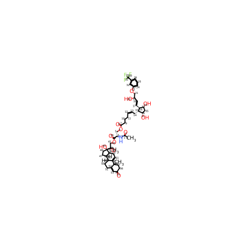 CC(=O)N[C@@H](COC(=O)CCC/C=C\C[C@@H]1[C@@H](/C=C/[C@@H](O)COc2cccc(C(F)(F)F)c2)[C@H](O)C[C@@H]1O)C(=O)OCC(=O)[C@@]1(O)CC[C@H]2[C@@H]3CCC4=CC(=O)CC[C@]4(C)C3=CC[C@@]21C